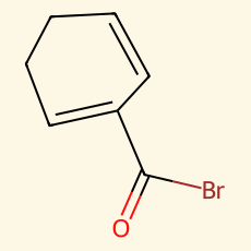 O=C(Br)C1=CCCC=C1